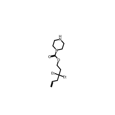 C=CCC(CC)(CC)CCOC(=O)N1CCNCC1